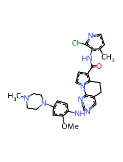 COc1cc(N2CCN(C)CC2)ccc1Nc1ncc2c(n1)-n1ccc(C(=O)Nc3c(C)ccnc3Cl)c1CC2